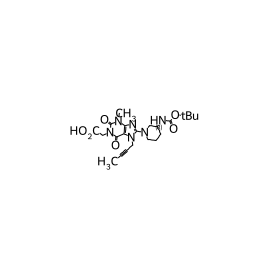 CC#CCn1c(N2CCC[C@@H](NC(=O)OC(C)(C)C)C2)nc2c1c(=O)n(CC(=O)O)c(=O)n2C